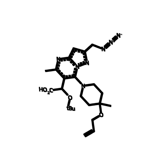 C=CCOC1(C)CCN(c2c(C(OC(C)(C)C)C(=O)O)c(C)nc3cc(CN=[N+]=[N-])nn23)CC1